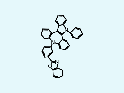 C1=CC2=C(CC1)N(c1cccc(-c3nc4c(o3)C=CCC4)c1)c1ccccc1-c1c2c2ccccc2n1-c1ccccc1